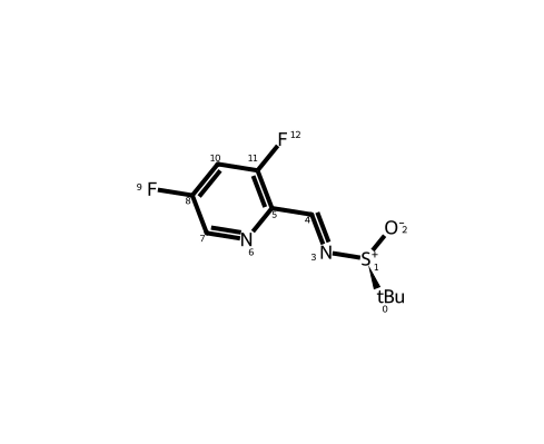 CC(C)(C)[S@+]([O-])N=Cc1ncc(F)cc1F